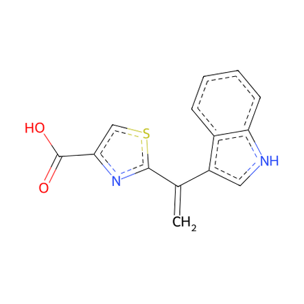 C=C(c1nc(C(=O)O)cs1)c1c[nH]c2ccccc12